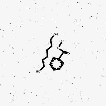 O=C(OO)c1ccccc1.OCCCCCCO